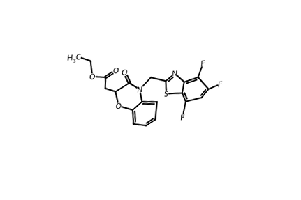 CCOC(=O)CC1Oc2ccccc2N(Cc2nc3c(F)c(F)cc(F)c3s2)C1=O